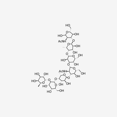 CC(=O)N[C@H]1[C@H](O[C@H]2[C@@H](O)[C@@H](CO)O[C@@H](O[C@H]3[C@@H](O)[C@H](O)[C@H](O[C@H]4[C@H](O)[C@@H](CO)OC(O)[C@@H]4NC(C)=O)O[C@H]3C)[C@@H]2O)O[C@H](CO)[C@@H](O)[C@@H]1O[C@@H]1O[C@@H](C)[C@@H](O[C@@H]2O[C@H](CO)[C@H](O)[C@H](O)[C@H]2O[C@@H]2O[C@@H](C)[C@@H](O)[C@@H](O)[C@@H]2O)[C@@H](O)[C@@H]1O